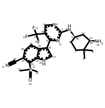 CC1(C)CC[C@@H](Nc2ncc(C(F)(F)F)c(-c3c[nH]c4c(P(C)(C)=O)c(C#N)ccc34)n2)C[C@H]1N